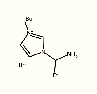 CCCC[n+]1ccn(C(N)CC)c1.[Br-]